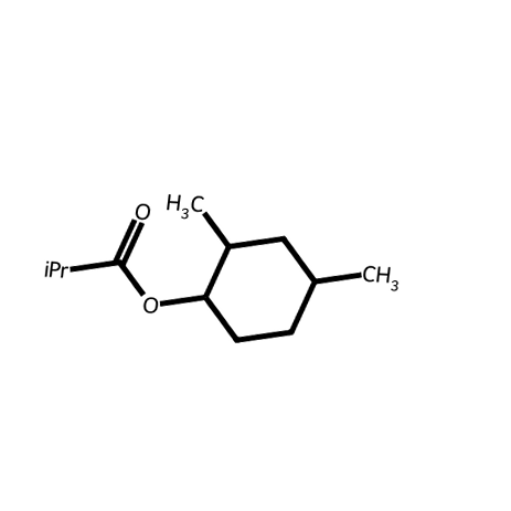 CC1CCC(OC(=O)C(C)C)C(C)C1